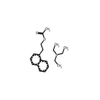 CC(=O)OCCc1cccc2ccccc12.CCN(CC)CC